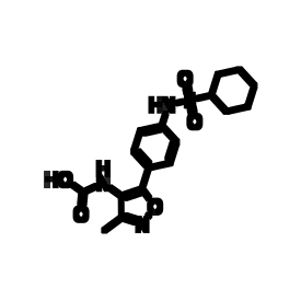 Cc1noc(-c2ccc(NS(=O)(=O)C3CCCCC3)cc2)c1NC(=O)O